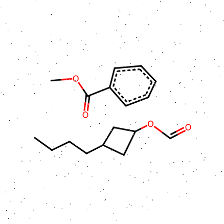 CCCCC1CC(OC=O)C1.COC(=O)c1ccccc1